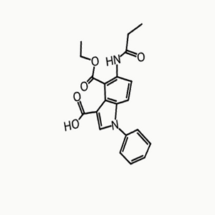 CCOC(=O)c1c(NC(=O)CC)ccc2c1c(C(=O)O)cn2-c1ccccc1